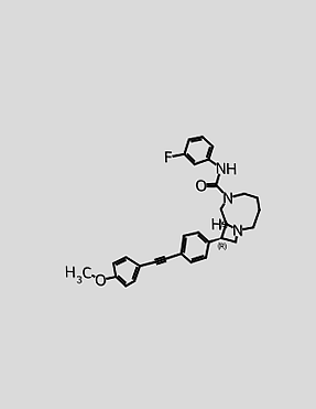 COc1ccc(C#Cc2ccc([C@@H]3CN4CCCCN(C(=O)Nc5cccc(F)c5)C[C@H]34)cc2)cc1